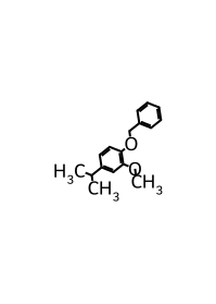 COc1cc(C(C)C)ccc1OCc1ccccc1